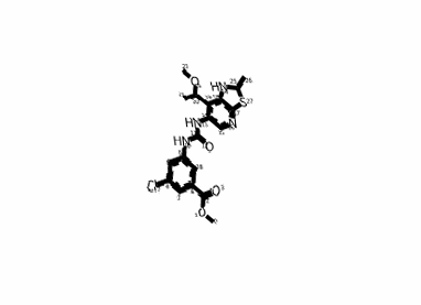 COC(=O)c1cc(Cl)cc(NC(=O)Nc2cnc3c(c2C(C)OC)NC(C)S3)c1